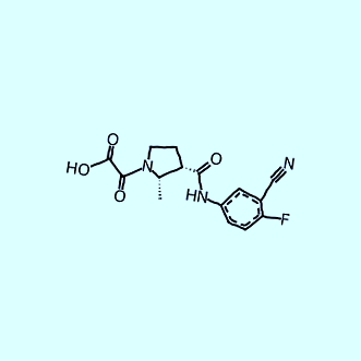 C[C@H]1[C@@H](C(=O)Nc2ccc(F)c(C#N)c2)CCN1C(=O)C(=O)O